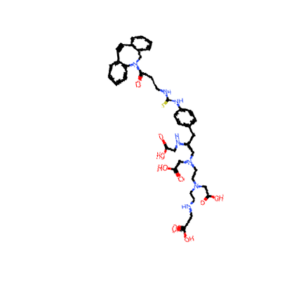 O=C(O)CNCCN(CCN(CC(=O)O)CC(Cc1ccc(NC(=S)NCCC(=O)N2Cc3ccccc3C#Cc3ccccc32)cc1)NCC(=O)O)CC(=O)O